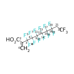 C=C(C(=O)O)C(F)(F)C(F)(F)C(F)(F)C(F)(F)C(F)(F)C(F)(F)CC(F)(F)F